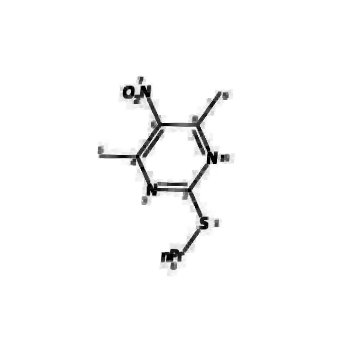 CCCSc1nc(C)c([N+](=O)[O-])c(C)n1